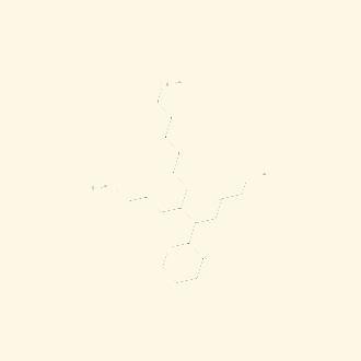 CCCCCCCCCCCCCCCCC(CCCCCCCCCCCCC)C(CCCCCCCCCCCCC)C1CCCCO1